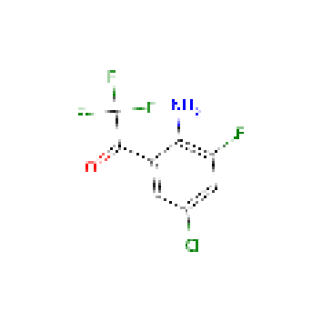 Nc1c(F)cc(Cl)cc1C(=O)C(F)(F)F